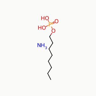 CCCCCCCCOP(=O)(O)O.N